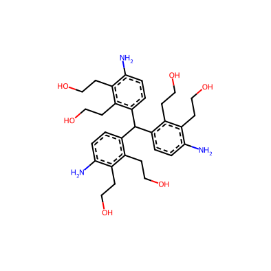 Nc1ccc(C(c2ccc(N)c(CCO)c2CCO)c2ccc(N)c(CCO)c2CCO)c(CCO)c1CCO